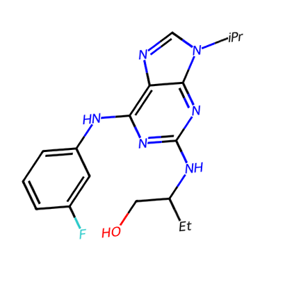 CCC(CO)Nc1nc(Nc2cccc(F)c2)c2ncn(C(C)C)c2n1